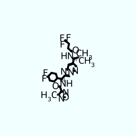 Cc1nonc1C(=O)N[C@H](c1cn2ncc([C@H](NC(=O)CCC(F)(F)F)C(C)C)cc2n1)C1CCC(F)(F)CC1